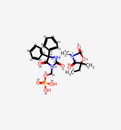 CCC1(C)OC(=O)N(C)C1=O.O=C1NC(c2ccccc2)(c2ccccc2)C(=O)N1COP(=O)(O)O